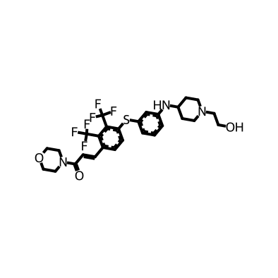 O=C(C=Cc1ccc(Sc2cccc(NC3CCN(CCO)CC3)c2)c(C(F)(F)F)c1C(F)(F)F)N1CCOCC1